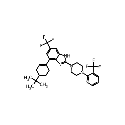 CC(C)(C)C1CC=C(c2cc(C(F)(F)F)cc3[nH]c(N4CCN(c5ncccc5C(F)(F)F)CC4)nc23)CC1